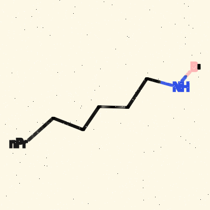 [B]NCCCCCCCC